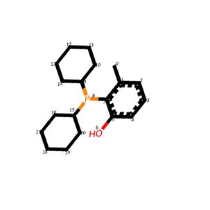 Cc1cccc(O)c1P(C1CCCCC1)C1CCCCC1